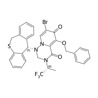 C[C@@H](N1CN([C@H]2c3ccccc3CSc3ccccc32)n2cc(Br)c(=O)c(OCc3ccccc3)c2C1=O)C(F)(F)F